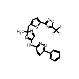 CC1(Cc2ccc(-c3noc(C(F)(F)F)n3)s2)N=CC(Nc2ccc(-c3ccccc3)nn2)=N1